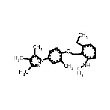 CCc1cccc(NC)c1COc1ccc(-n2nc(C)c(C)c2C)cc1C